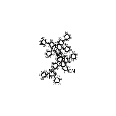 N#Cc1ccc(-n2c3ccc(-c4cc5c6c(c4)N(c4ccccc4)c4cc(-c7ccccc7)ccc4B6c4ccc(-c6ccccc6)cc4N5c4ccccc4)cc3c3ccc(-c4nc(-c5ccccc5)nc(-c5ccccc5)n4)cc32)c(-c2nc(-c3ccccc3)nc(-c3ccccc3)n2)c1